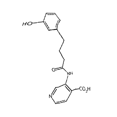 O=C(CCCc1cccc(O)c1)Nc1cnccc1C(=O)O